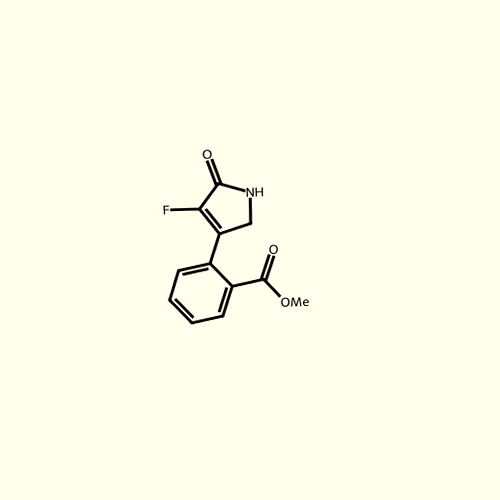 COC(=O)c1ccccc1C1=C(F)C(=O)NC1